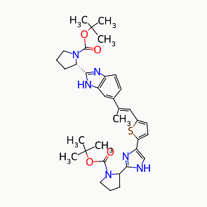 C/C(=C\c1ccc(-c2c[nH]c(C3CCCN3C(=O)OC(C)(C)C)n2)s1)c1ccc2nc([C@@H]3CCCN3C(=O)OC(C)(C)C)[nH]c2c1